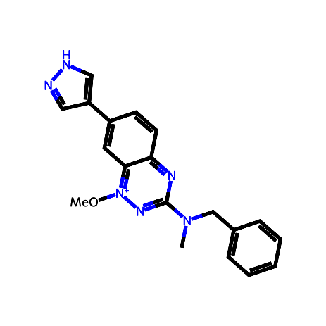 CO[n+]1nc(N(C)Cc2ccccc2)nc2ccc(-c3cn[nH]c3)cc21